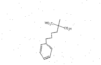 CC(CCCCc1ccccc1)(C(=O)O)C(=O)O